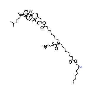 CCCCCC/C=C\COC(=O)CCCCCCCN(CCCCCCCC(=O)O[C@H]1CC[C@@]2(C)C(=CC[C@]3(I)C2CC[C@]2(C)[C@@H]([C@H](C)CCCC(C)C)CC[C@H]23)C1)C(=O)SCCN(C)C